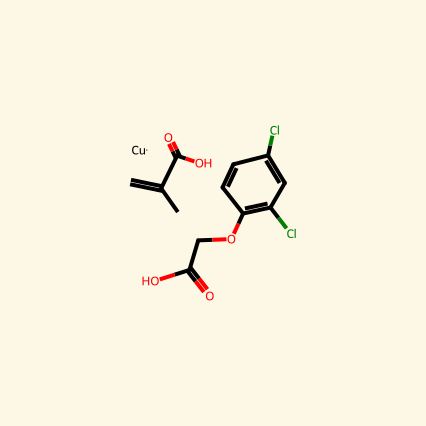 C=C(C)C(=O)O.O=C(O)COc1ccc(Cl)cc1Cl.[Cu]